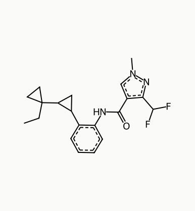 CCC1(C2CC2c2ccccc2NC(=O)c2cn(C)nc2C(F)F)CC1